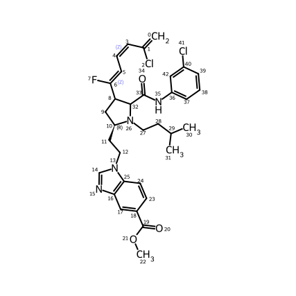 C=C(Cl)/C=C\C=C(/F)C1C[C@H](CCn2cnc3cc(C(=O)OC)ccc32)N(CCC(C)C)C1C(=O)Nc1cccc(Cl)c1